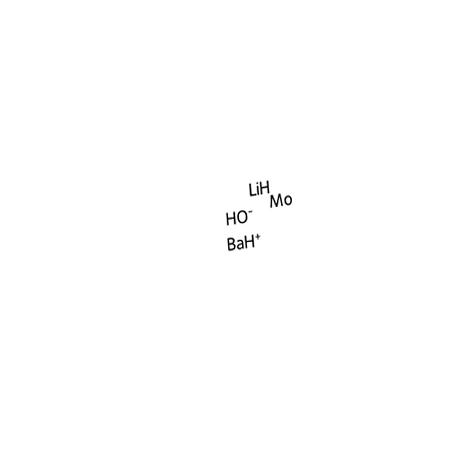 [BaH+].[LiH].[Mo].[OH-]